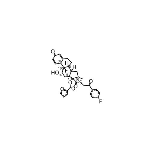 C[C@@H]1C[C@H]2[C@@H]3CCC4=CC(=O)C=C[C@]4(C)[C@@]3(F)[C@@H](O)C[C@]2(C)[C@@]1(OC(=O)c1ccco1)C(=O)SCC(=O)c1ccc(F)cc1